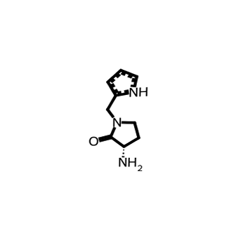 N[C@H]1CCN(Cc2ccc[nH]2)C1=O